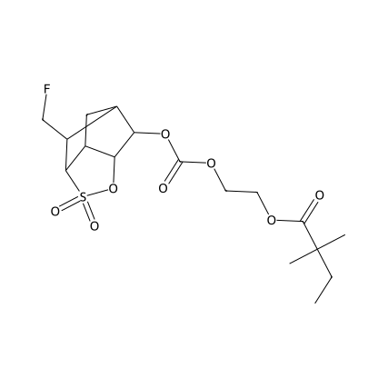 CCC(C)(C)C(=O)OCCOC(=O)OC1C2CC3C1OS(=O)(=O)C3C2CF